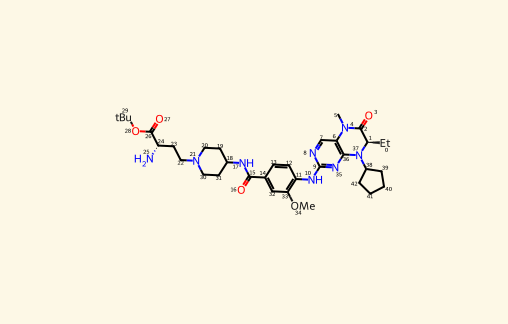 CC[C@@H]1C(=O)N(C)c2cnc(Nc3ccc(C(=O)NC4CCN(CC[C@H](N)C(=O)OC(C)(C)C)CC4)cc3OC)nc2N1C1CCCC1